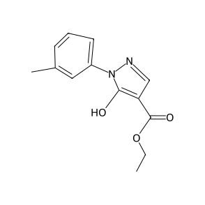 CCOC(=O)c1cnn(-c2cccc(C)c2)c1O